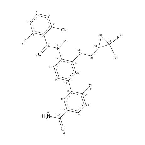 CN(C(=O)c1c(F)cccc1Cl)c1ncc(-c2cc(C(N)=O)ccc2Cl)cc1OCC1CC1(F)F